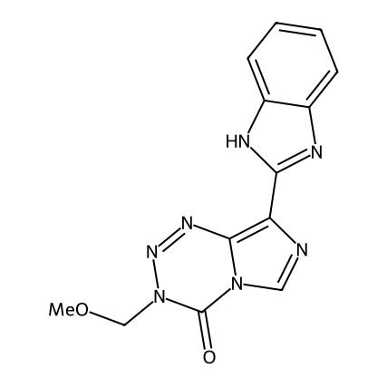 COCn1nnc2c(-c3nc4ccccc4[nH]3)ncn2c1=O